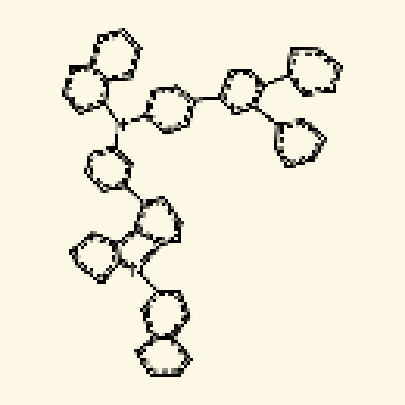 c1ccc(-c2ccc(-c3ccc(N(c4cccc(-c5cccc6c5c5ccccc5n6-c5ccc6ccccc6c5)c4)c4cccc5ccccc45)cc3)cc2-c2ccccc2)cc1